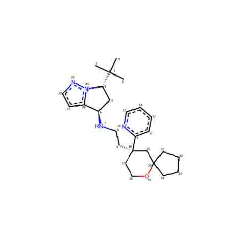 CC(C)(C)[C@@H]1C[C@@H](NCC[C@@]2(c3ccccn3)CCOC3(CCCC3)C2)c2ccnn21